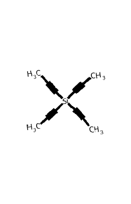 CC#C[Si](C#CC)(C#CC)C#CC